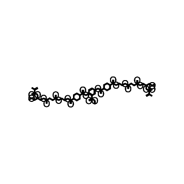 C=C(C)C(=O)OC(COC)COC(=O)CCC(=O)OCCOC(=O)C1CCC(C(=O)Oc2ccc(OC(=O)C3CCC(C(=O)OCCOC(=O)CCC(=O)OCC(COC)OC(=O)C(=C)C)CC3)c(C(=O)OC)c2)CC1